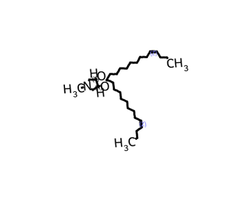 CCC/C=C\CCCCCCCCC1(CCCCCCCC/C=C\CCC)O[C@H]2CN(C)C[C@H]2O1